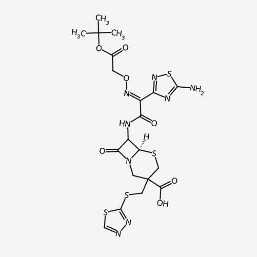 CC(C)(C)OC(=O)CON=C(C(=O)NC1C(=O)N2CC(CSc3nncs3)(C(=O)O)CS[C@H]12)c1nsc(N)n1